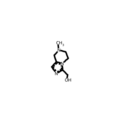 CN1CCn2c(cnc2CO)C1